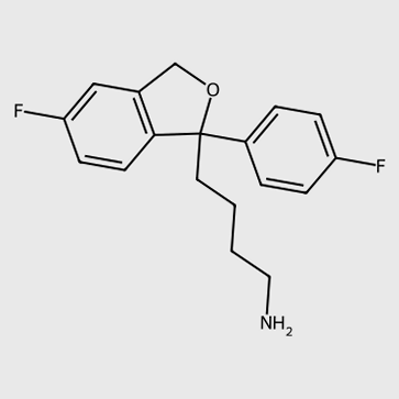 NCCCCC1(c2ccc(F)cc2)OCc2cc(F)ccc21